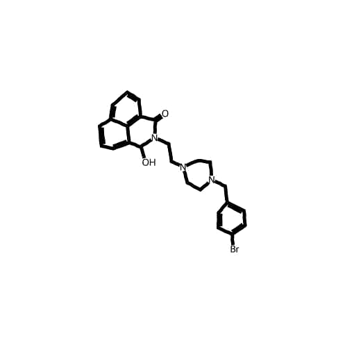 O=C1c2cccc3cccc(c23)C(O)N1CCN1CCN(Cc2ccc(Br)cc2)CC1